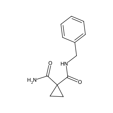 NC(=O)C1(C(=O)NCc2ccccc2)CC1